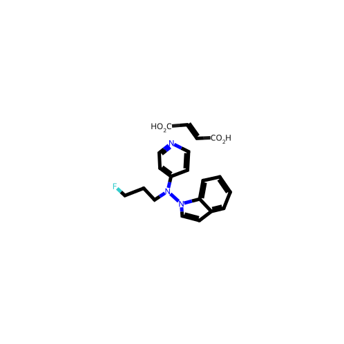 FCCCN(c1ccncc1)n1ccc2ccccc21.O=C(O)C=CC(=O)O